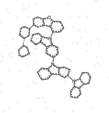 c1ccc(-c2cccc(-c3ccc4oc5cccc(-n6c7ccccc7c7cc(-n8c9ccccc9c9cc(-n%10c%11ccccc%11c%11ccccc%11%10)ccc98)ccc76)c5c4c3)c2)cc1